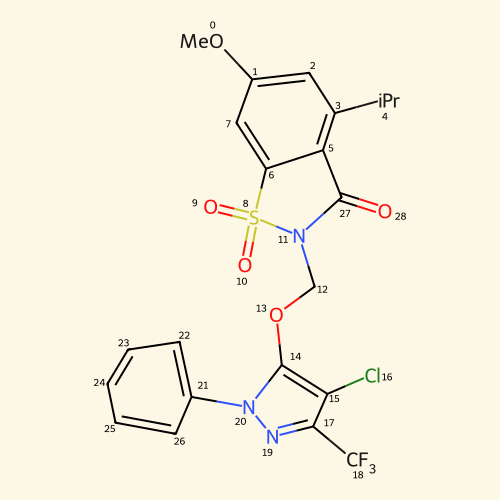 COc1cc(C(C)C)c2c(c1)S(=O)(=O)N(COc1c(Cl)c(C(F)(F)F)nn1-c1ccccc1)C2=O